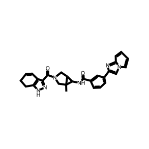 CC12CN(C(=O)c3n[nH]c4c3C=CCC4)CC1C2NC(=O)c1cccc(-c2cn3ccccc3n2)c1